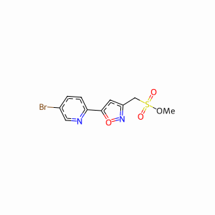 COS(=O)(=O)Cc1cc(-c2ccc(Br)cn2)on1